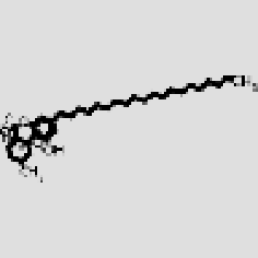 CCCCCCCCCCCCCCCCCCCCc1cc(O)c2c(c1)OC(C)(C)[C@@H]1CCC(C)C[C@H]21